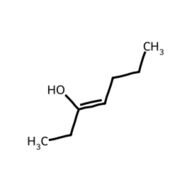 CCCC=C(O)CC